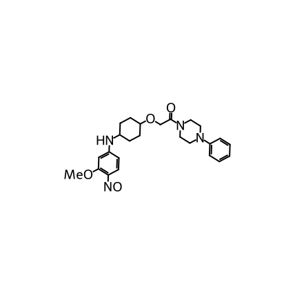 COc1cc(NC2CCC(OCC(=O)N3CCN(c4ccccc4)CC3)CC2)ccc1N=O